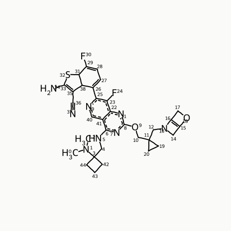 CN(C)C1(CNc2nc(OCC3(CN4CC5=C4CO5)CC3)nc3c(F)c(C4=CC=C(F)C5SC(N)=C(C#N)C45)ncc23)CCC1